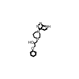 OC(COc1ccccc1)CN1CCCN(c2ncnc3[nH]ccc23)CC1